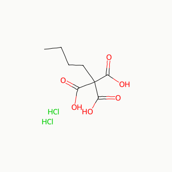 CCCCC(C(=O)O)(C(=O)O)C(=O)O.Cl.Cl